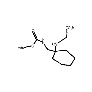 CC(C)(C)OC(=O)NCC1(NCC(=O)O)CCCCC1